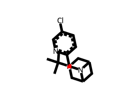 CC(C)(C)N1CC2CC(C1)N2Cc1ccc(Cl)cn1